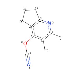 Cc1nc2c(c(OC#N)c1C)CCC2